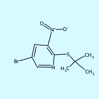 CC(C)(C)Sc1ncc(Br)cc1[N+](=O)[O-]